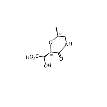 C[C@H]1CNC(=O)[C@@H](C(O)C(=O)O)O1